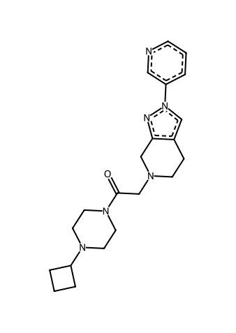 O=C(CN1CCc2cn(-c3cccnc3)nc2C1)N1CCN(C2CCC2)CC1